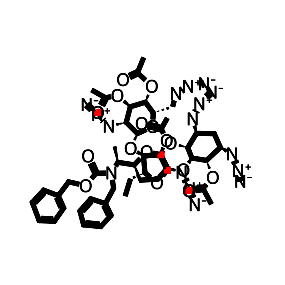 CC[C@H]1O[C@@H](O[C@@H]2[C@@H](OC(C)=O)[C@H](N=[N+]=[N-])C[C@H](N=[N+]=[N-])[C@H]2O[C@H]2O[C@H]([C@H](C)N(Cc3ccccc3)C(=O)OCc3ccccc3)CC[C@H]2N=[N+]=[N-])[C@H](OC(C)=O)[C@@H]1O[C@H]1O[C@@H](CN=[N+]=[N-])[C@@H](OC(C)=O)[C@H](OC(C)=O)[C@H]1N=[N+]=[N-]